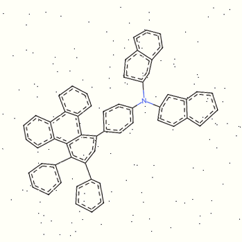 c1ccc(-c2cc(-c3ccc(N(c4ccc5ccccc5c4)c4ccc5ccccc5c4)cc3)c3c4ccccc4c4ccccc4c3c2-c2ccccc2)cc1